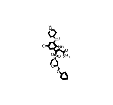 NC(=O)c1[nH]c2c(NC3CCNCC3)cc(Cl)cc2c1S(=O)(=O)N1CCO[C@H](COc2ccccc2)C1